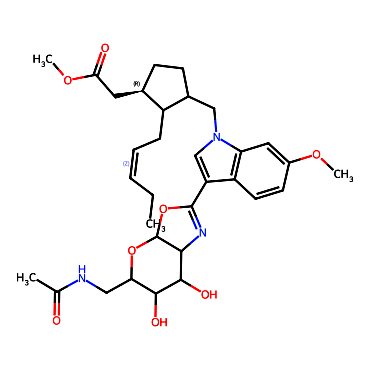 CC/C=C\CC1C(Cn2cc(C3=NC4C(O3)OC(CNC(C)=O)C(O)C4O)c3ccc(OC)cc32)CC[C@@H]1CC(=O)OC